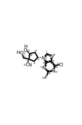 N#C[C@]1(CO)C[C@@H](n2cnc3c(Cl)nc(F)nc32)C[C@@H]1O